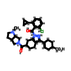 CN1CCC2CN(C(=O)C3CCc4c(C5=CCC(C(=O)O)CC5)nn(C(=O)c5c(Cl)cccc5C5CC5)c4C3)CC21